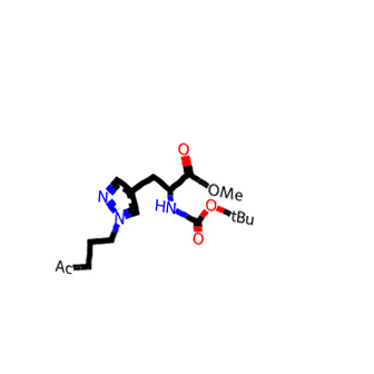 COC(=O)C(Cc1cnn(CCCC(C)=O)c1)NC(=O)OC(C)(C)C